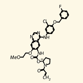 C=CC(=O)N1CCC[C@@H]1OC(=O)Nc1cc2c(Nc3ccc(OCc4cccc(F)c4)c(Cl)c3)ncnc2cc1OCCOC